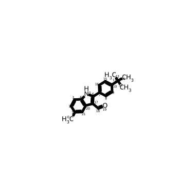 Cc1ccc2[nH]c(-c3ccc(C(C)(C)C)cc3)c(C=O)c2c1